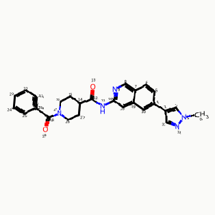 Cn1cc(-c2ccc3cnc(NC(=O)C4CCN(C(=O)c5ccccc5)CC4)cc3c2)cn1